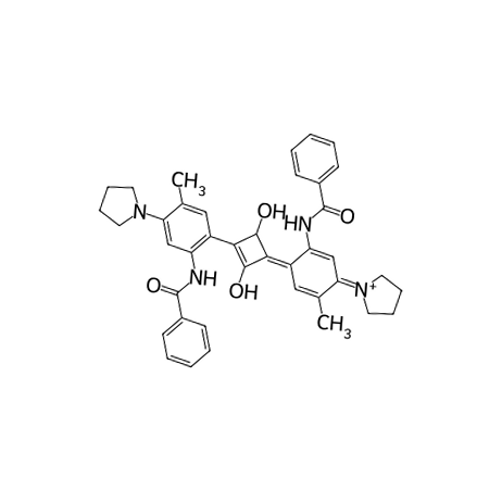 CC1=C/C(=C2\C(O)=C(c3cc(C)c(N4CCCC4)cc3NC(=O)c3ccccc3)C2O)C(NC(=O)c2ccccc2)=CC1=[N+]1CCCC1